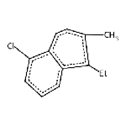 [CH2]Cc1c(C)ccc2c(Cl)cccc12